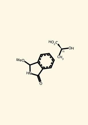 COC1NC(=O)c2ccccc21.C[C@H](O)C(=O)O